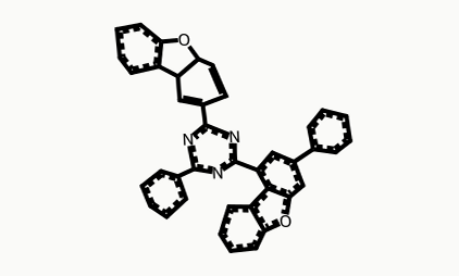 C1=CC2Oc3ccccc3C2C=C1c1nc(-c2ccccc2)nc(-c2cc(-c3ccccc3)cc3oc4ccccc4c23)n1